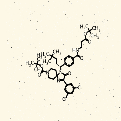 CC(C)(C)CC[C@H](c1ccc(C(=O)NCCC(=O)OC(C)(C)C)cc1)N1C(=O)C(c2cc(Cl)cc(Cl)c2)=NC12CCN(C(=O)OC(C)(C)C)CC2